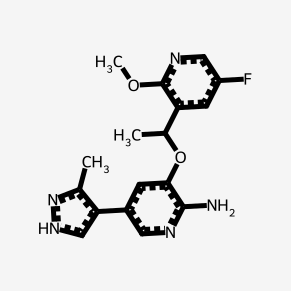 COc1ncc(F)cc1C(C)Oc1cc(-c2c[nH]nc2C)cnc1N